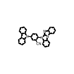 N#Cc1cc(-n2c3ccccc3c3ccccc32)ccc1-n1c2ccccc2n2c3ccccc3nc12